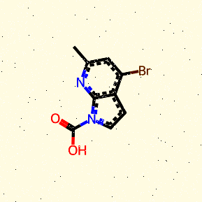 Cc1cc(Br)c2ccn(C(=O)O)c2n1